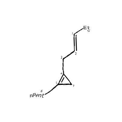 CC/C=C/CC1=C(CCCCC)C1